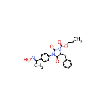 C=CCOC(=O)N1C(=O)N(c2ccc(/C(C)=N/O)cc2)C(=O)C1Cc1ccccc1